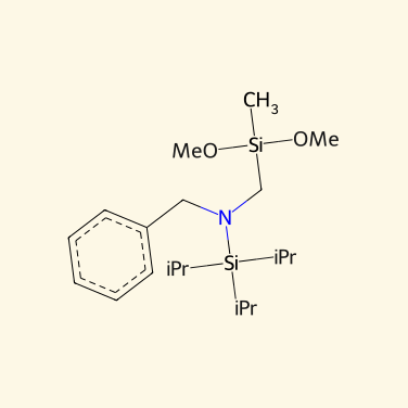 CO[Si](C)(CN(Cc1ccccc1)[Si](C(C)C)(C(C)C)C(C)C)OC